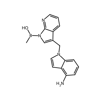 CB(O)n1cc(Cn2ccc3c(N)cccc32)c2cccnc21